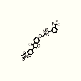 CS(=O)(=O)Nc1ccc(-c2coc3cc(OCc4noc(-c5cccc(C(F)(F)F)c5)n4)ccc3c2=O)cc1